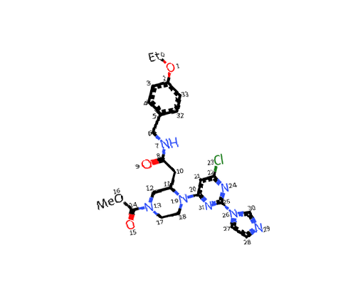 CCOc1ccc(CNC(=O)CC2CN(C(=O)OC)CCN2c2cc(Cl)nc(-n3ccnc3)n2)cc1